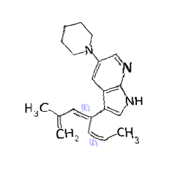 C=C(C)/C=C(\C=C/C)c1c[nH]c2ncc(N3CCCCC3)cc12